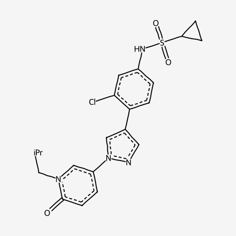 CC(C)Cn1cc(-n2cc(-c3ccc(NS(=O)(=O)C4CC4)cc3Cl)cn2)ccc1=O